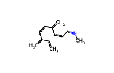 C=CC(=C)/C=C\C(=C)/C=C\C=N/C